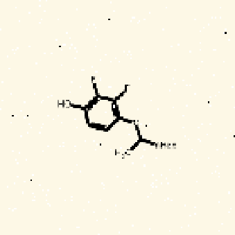 CCCCCCC(C)Oc1ccc(O)c(F)c1F